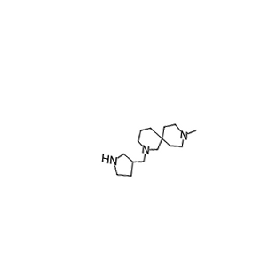 CN1CCC2(CCCN(CC3CCNC3)C2)CC1